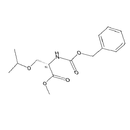 COC(=O)[C@H](COC(C)C)NC(=O)OCc1ccccc1